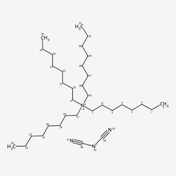 CCCCCCCC[N+](CCCCCCCC)(CCCCCCCC)CCCCCCCC.N#C[N-]C#N